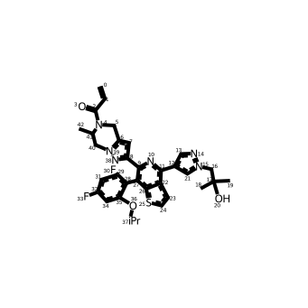 C=CC(=O)N1Cc2cc(-c3nc(-c4cnn(CC(C)(C)O)c4)c4ccsc4c3-c3c(F)cc(F)cc3OC(C)C)nn2CC1C